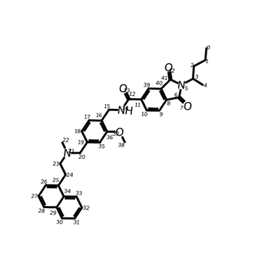 CCCC(C)N1C(=O)c2ccc(C(=O)NCc3ccc(CN(C)CCc4cccc5ccccc45)cc3OC)cc2C1=O